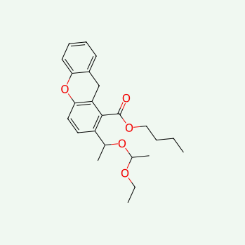 CCCCOC(=O)c1c(C(C)OC(C)OCC)ccc2c1Cc1ccccc1O2